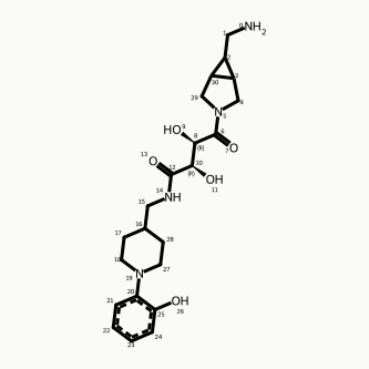 NCC1C2CN(C(=O)[C@H](O)[C@@H](O)C(=O)NCC3CCN(c4ccccc4O)CC3)CC12